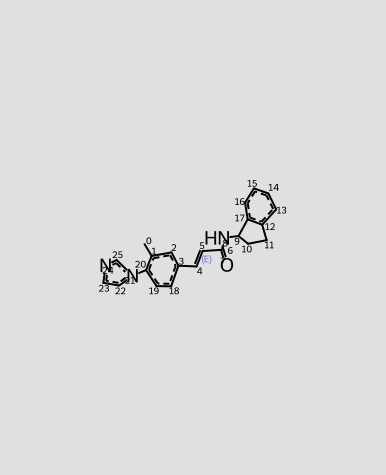 Cc1cc(/C=C/C(=O)NC2CCc3ccccc32)ccc1-n1ccnc1